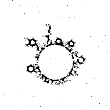 C=CCOC(=O)CC[C@H]1C(=O)NC2(CCCC2)C(=O)N(C)[C@@H](C2CCCC2)C(=O)N(C)[C@H](C(=O)N2CCOCC2)CC(=O)N(C)[C@H](CC(C)C)C(=O)N[C@@H]([C@@H](C)CC)C(=O)N(C)[C@@H](C)C(=O)N2CC[C@H]2C(=O)N(C)[C@@H](CC2CCCCC2)C(=O)N(C)CC(=O)N[C@@H](CCc2ccc(C(F)(F)F)c(Cl)c2)C(=O)N1C